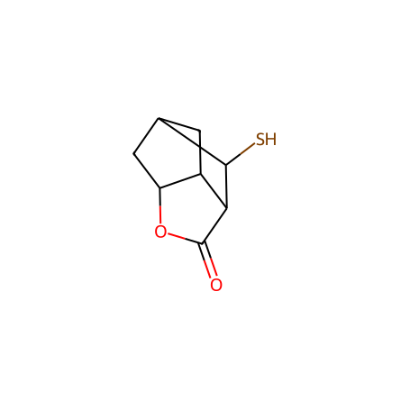 O=C1OC2CC3CC2C1C3S